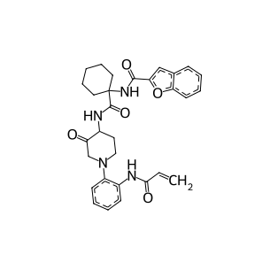 C=CC(=O)Nc1ccccc1N1CCC(NC(=O)C2(NC(=O)c3cc4ccccc4o3)CCCCC2)C(=O)C1